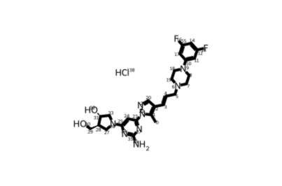 Cc1c(C=CCN2CCN(c3cc(F)cc(F)c3)CC2)cnn1-c1cc(N2C[C@@H](CO)[C@H](O)C2)nc(N)n1.Cl